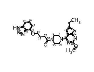 CCc1cc2c(N3CCN(C(=O)CCCOc4cccc5[nH]nnc45)CC3)nc(OC)nc2s1